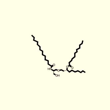 CCCCCCCCCCCCCC(=O)N[C@@H](CO)COCC[C@@H](CCCCCCC)OC(=O)CCCCCCCCCCC